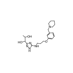 CC(O)C(O)c1n[nH]c(NCCCOc2cccc(CN3CCCCC3)c2)n1